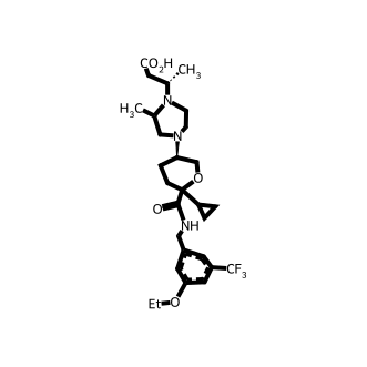 CCOc1cc(CNC(=O)C2(C3CC3)CC[C@@H](N3CCN([C@@H](C)CC(=O)O)C(C)C3)CO2)cc(C(F)(F)F)c1